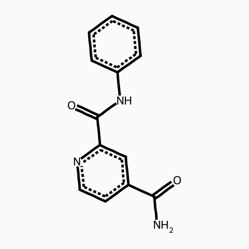 NC(=O)c1ccnc(C(=O)Nc2ccccc2)c1